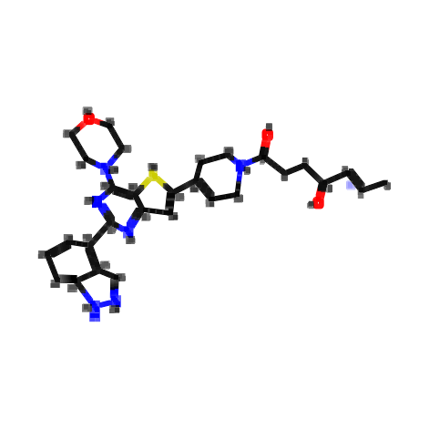 C/C=C/C(=O)CCC(=O)N1CC=C(c2cc3nc(-c4cccc5[nH]ncc45)nc(N4CCOCC4)c3s2)CC1